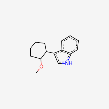 COC1CCCCC1c1c[nH]c2ccccc12